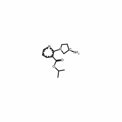 CC(C)OC(=O)c1cccnc1N1CC[C@@H](N)C1